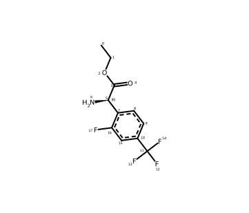 CCOC(=O)[C@H](N)c1ccc(C(F)(F)F)cc1F